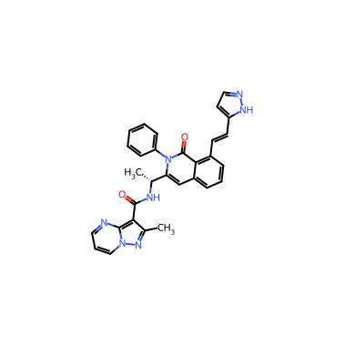 Cc1nn2cccnc2c1C(=O)N[C@H](C)c1cc2cccc(/C=C/c3ccn[nH]3)c2c(=O)n1-c1ccccc1